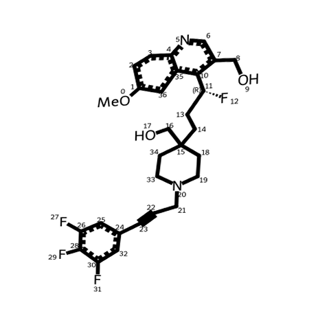 COc1ccc2ncc(CO)c([C@H](F)CCC3(CO)CCN(CC#Cc4cc(F)c(F)c(F)c4)CC3)c2c1